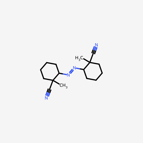 CC1(C#N)CCCCC1N=NC1CCCCC1(C)C#N